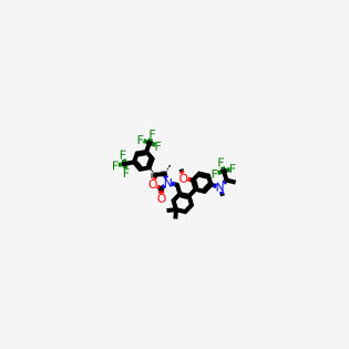 COc1ccc(N(C)C(C)C(F)(F)F)cc1C1=C(CN2C(=O)O[C@H](c3cc(C(F)(F)F)cc(C(F)(F)F)c3)[C@@H]2C)CC(C)(C)CC1